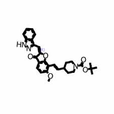 COc1ccc2c(c1C=CC1CCN(C(=O)OC(C)(C)C)CC1)O/C(=C/c1n[nH]c3ccccc13)C2=O